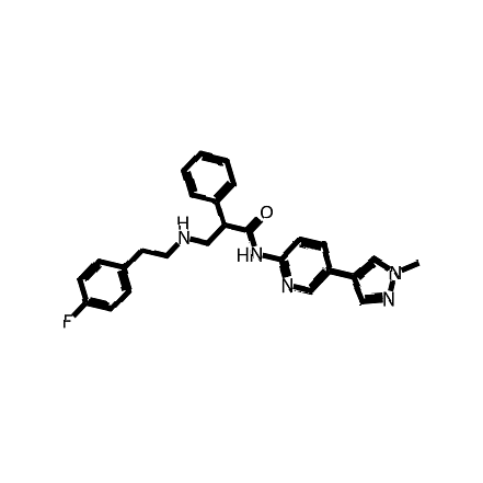 Cn1cc(-c2ccc(NC(=O)C(CNCCc3ccc(F)cc3)c3ccccc3)nc2)cn1